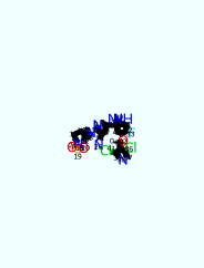 C[C@@H](Oc1cc2c(-c3cnc(N4CC5(CCCN(S(C)(=O)=O)C5)C4)c(C#N)c3)n[nH]c2cc1F)c1c(Cl)cncc1Cl